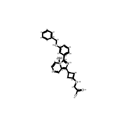 N[N+]12C=CN=CC1=C(C1CC(OCC(=O)[O-])C1)N=C2c1cccc(OCc2ccccc2)c1